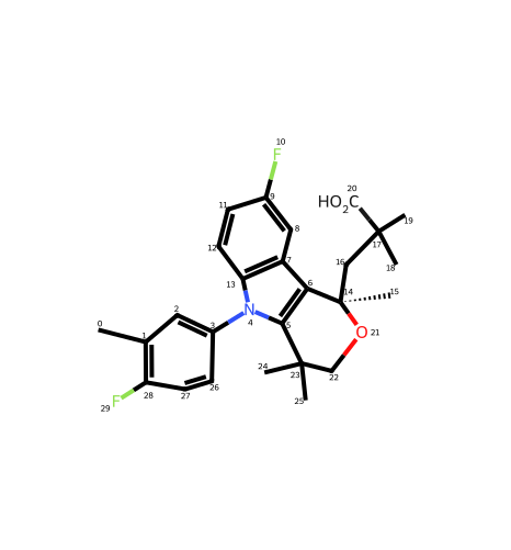 Cc1cc(-n2c3c(c4cc(F)ccc42)[C@@](C)(CC(C)(C)C(=O)O)OCC3(C)C)ccc1F